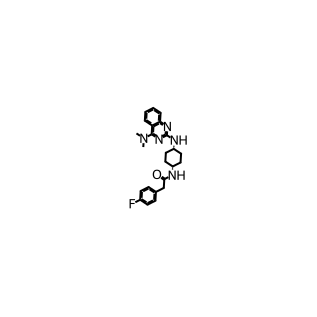 CN(C)c1nc(N[C@H]2CC[C@@H](NC(=O)Cc3ccc(F)cc3)CC2)nc2ccccc12